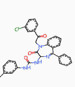 Cc1cccc(NC(=O)NC2N=C(c3ccccc3)c3ccccc3N(CC(=O)c3cccc(Cl)c3)C2=O)c1